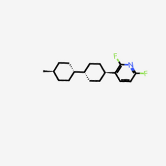 C[C@H]1CC[C@H]([C@H]2CC[C@H](c3ccc(F)nc3F)CC2)CC1